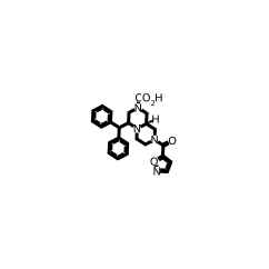 O=C(O)N1CC(C(c2ccccc2)c2ccccc2)N2CCN(C(=O)c3ccno3)C[C@H]2C1